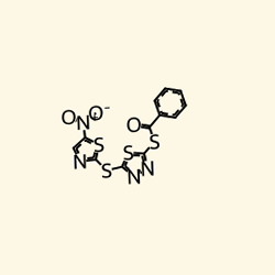 O=C(Sc1nnc(Sc2ncc([N+](=O)[O-])s2)s1)c1ccccc1